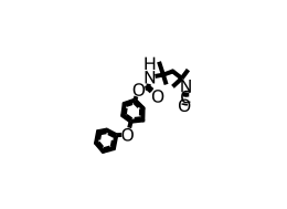 CC(C)(CC(C)(C)NC(=O)Oc1ccc(Oc2ccccc2)cc1)N=C=O